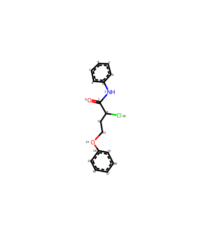 O=C(Nc1ccccc1)C(Cl)CCOc1ccccc1